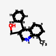 OCc1cnc2c(C(F)(F)F)cccc2c1-c1ccccc1